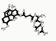 COc1ccc2c3c1O[C@@H]1C(OC(=O)CCC(=O)O[C@@H](C)C(=O)N[C@H](CC(=O)O)C(=O)O)=CC[C@]4(O)[C@@H](CCC[C@@]314)C2